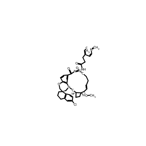 C=N/C=C\C(=C/C)CCC(=O)N[S@@]1(=O)=NC(=O)c2ccc3c(c2)N(C[C@@H]2CC[C@H]2[C@@H](OC)/C=C/CCC1)C[C@@]1(CCCc2cc(Cl)ccc21)CO3